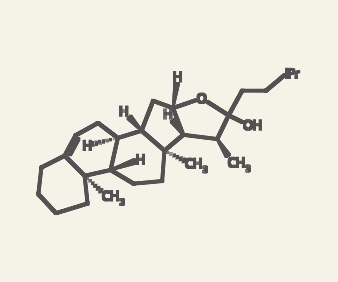 CC(C)CCC1(O)O[C@H]2C[C@H]3[C@@H]4CC=C5CCCC[C@]5(C)[C@H]4CC[C@]3(C)[C@H]2[C@@H]1C